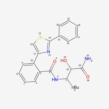 CCCCC(NC(=O)c1ccccc1-c1csc(-c2ccccc2)n1)C(O)C(N)=O